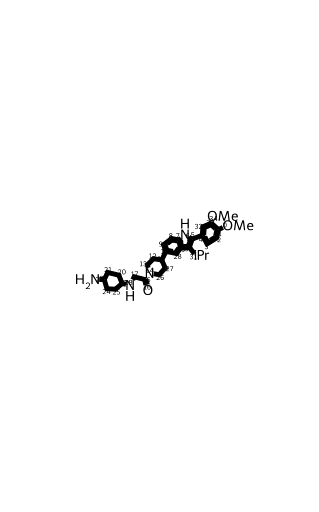 COc1ccc(-c2[nH]c3ccc(C4CCN(C(=O)CNC5CCC(N)CC5)CC4)cc3c2C(C)C)cc1OC